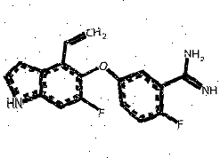 C=Cc1c(Oc2ccc(F)c(C(=N)N)c2)c(F)cc2[nH]ccc12